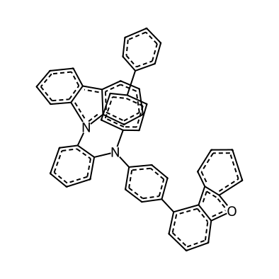 c1ccc(-c2ccc(N(c3ccc(-c4cccc5oc6ccccc6c45)cc3)c3ccccc3-n3c4ccccc4c4ccccc43)cc2)cc1